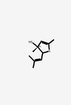 CC(C)=CC1SC(C)=C[C@@]1(C)S